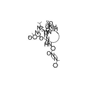 COc1ccc2c(O[C@@H]3C[C@H]4C(=O)N[C@]5(C(=O)NS(=O)(=O)C6(C)CC6)C[C@H]5/C=C\CCCCC[C@H](Nc5cccc(C(=O)N6CCN(C(C)c7ccccc7)CC6)c5)C(=O)N4C3)cc(-c3nc(C(C)C)cs3)nc2c1C